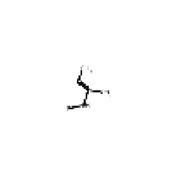 CC=C(C)BF